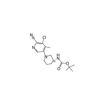 Cc1c(N2CCC[C@@H](NC(=O)OC(C)(C)C)C2)cnc(C#N)c1Cl